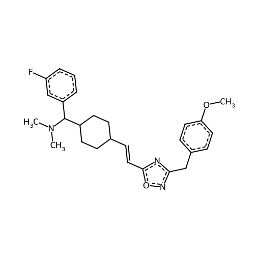 COc1ccc(Cc2noc(C=CC3CCC(C(c4cccc(F)c4)N(C)C)CC3)n2)cc1